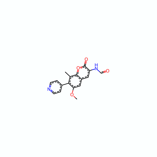 COc1cc2cc(NC=O)c(=O)oc2c(C)c1-c1ccncc1